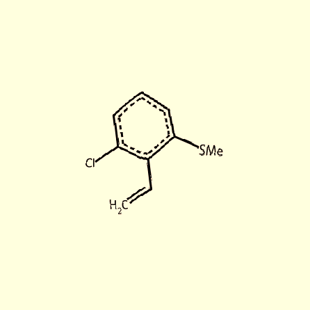 C=Cc1c(Cl)cccc1SC